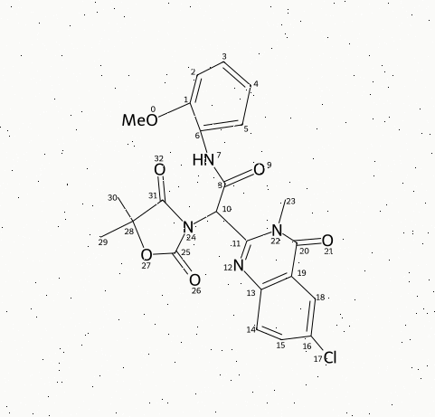 COc1ccccc1NC(=O)C(c1nc2ccc(Cl)cc2c(=O)n1C)N1C(=O)OC(C)(C)C1=O